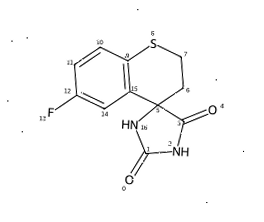 O=C1NC(=O)C2(CCSc3ccc(F)cc32)N1